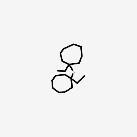 CCC1(SC2(CC)CCCCCCC2)CCCCCCC1